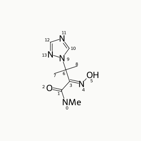 CNC(=O)/C(=N/O)C(C)(C)n1cncn1